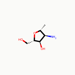 C[C@H]1O[C@@H](CO)[C@H](O)[C@@H]1N